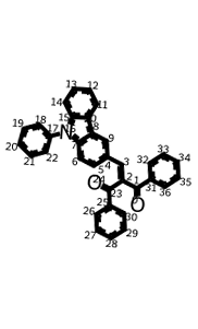 O=C(C(=Cc1ccc2c(c1)c1ccccc1n2-c1ccccc1)C(=O)c1ccccc1)c1ccccc1